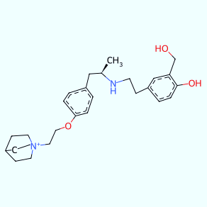 C[C@H](Cc1ccc(OCC[N+]23CCC(CC2)CC3)cc1)NCCc1ccc(O)c(CO)c1